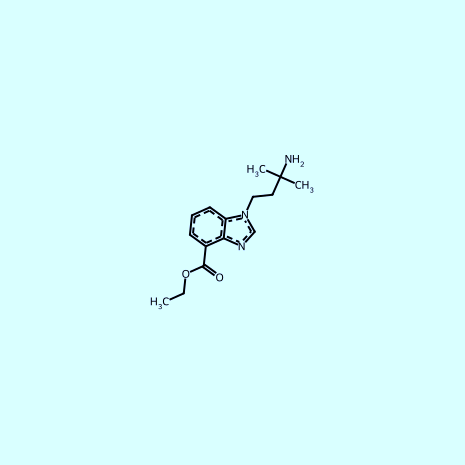 CCOC(=O)c1cccc2c1ncn2CCC(C)(C)N